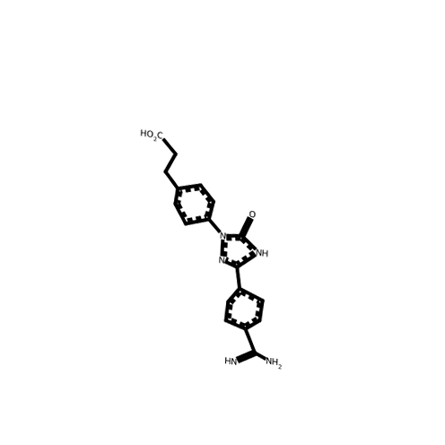 N=C(N)c1ccc(-c2nn(-c3ccc(CCC(=O)O)cc3)c(=O)[nH]2)cc1